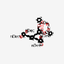 CCCCCCCCCCOc1ccc(OCCCCCCCCCC)c(C#Cc2ccc(C#Cc3cc(OCCCCCCCCCC)ccc3OCCCCCCCCCC)c(C#Cc3cc4c(O)c(c3)COC[C@H](c3ccccc3)OCCOCCO[C@@H](c3ccccc3)COC4)c2)c1